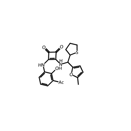 [CH2]C(=O)c1cccc(Nc2c(NC(c3ccc(C)o3)C3CCCS3)c(=O)c2=O)c1O